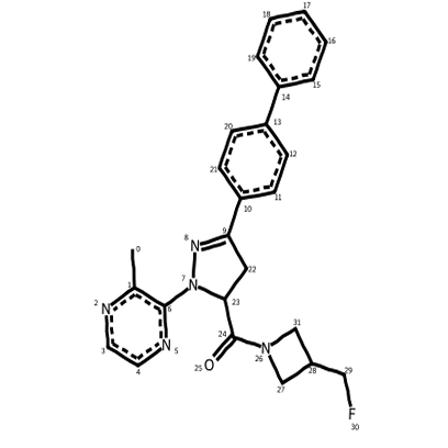 Cc1nccnc1N1N=C(c2ccc(-c3ccccc3)cc2)CC1C(=O)N1CC(CF)C1